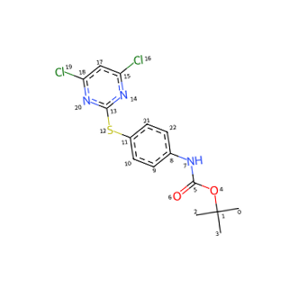 CC(C)(C)OC(=O)Nc1ccc(Sc2nc(Cl)cc(Cl)n2)cc1